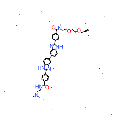 C#CCOCCOCCN(C)C(=O)c1ccc(-c2nc3cc(-c4ccc5[nH]c(-c6ccc(C(=O)NCCN(C)C)cc6)nc5c4)ccc3[nH]2)cc1